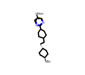 CCCCCCCCCc1cnc(C2CCC(CC[C@H]3CC[C@H](CCCC)CC3)CC2)nc1